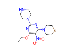 CCOc1nc(N2CCNCC2)nc(N2CCSCC2)c1[N+](=O)[O-]